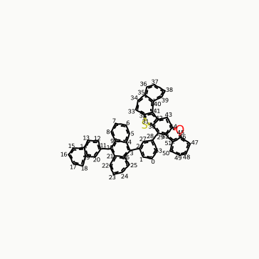 c1cc(-c2c3ccccc3c(-c3ccc4ccccc4c3)c3ccccc23)cc(-c2c3sc4ccc5ccccc5c4c3cc3oc4ccccc4c23)c1